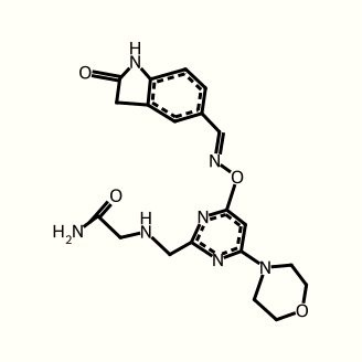 NC(=O)CNCc1nc(ON=Cc2ccc3c(c2)CC(=O)N3)cc(N2CCOCC2)n1